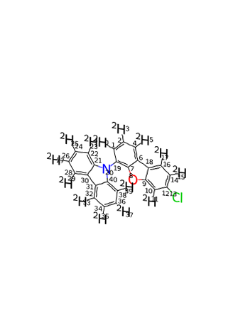 [2H]c1c([2H])c([2H])c2c(oc3c([2H])c(Cl)c([2H])c([2H])c32)c1-n1c2c([2H])c([2H])c([2H])c([2H])c2c2c([2H])c([2H])c([2H])c([2H])c21